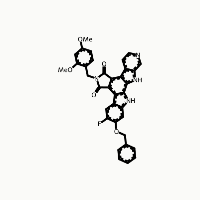 COc1ccc(CN2C(=O)c3c(c4c5cc(F)c(OCc6ccccc6)cc5[nH]c4c4[nH]c5cnccc5c34)C2=O)c(OC)c1